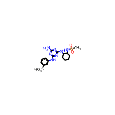 CS(=O)(=O)NC1CCCCC1Nc1nc(N)nc(Nc2cccc(S(=O)(=O)O)c2)n1